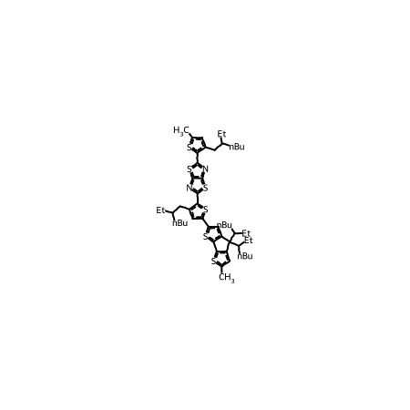 CCCCC(CC)Cc1cc(C)sc1-c1nc2sc(-c3sc(-c4cc5c(s4)-c4sc(C)cc4C5(C(CC)CCCC)C(CC)CCCC)cc3CC(CC)CCCC)nc2s1